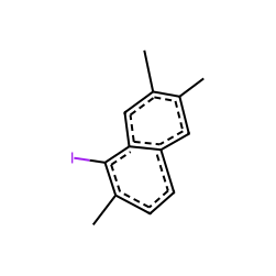 Cc1cc2ccc(C)c(I)c2cc1C